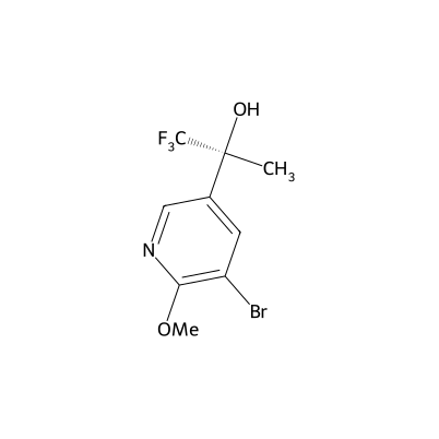 COc1ncc([C@](C)(O)C(F)(F)F)cc1Br